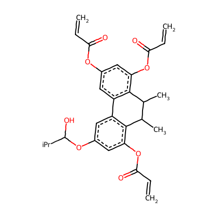 C=CC(=O)Oc1cc(OC(=O)C=C)c2c(c1)-c1cc(OC(O)C(C)C)cc(OC(=O)C=C)c1C(C)C2C